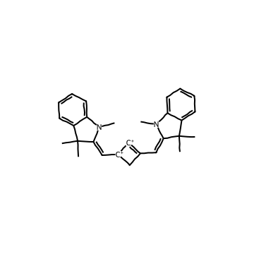 CN1C(=CC2=[C+][C+](C=C3N(C)c4ccccc4C3(C)C)C2)C(C)(C)c2ccccc21